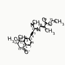 C=N/C(C#Cc1ccc2c(c1)C(C)(C)CC[S+]2[O-])=N\C=C(/C)C(=O)OCC